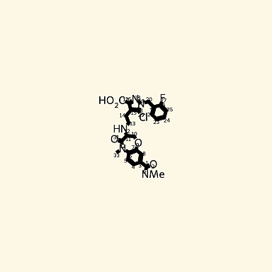 CNC(=O)c1ccc2c(c1)OCC(NCCc1c(C(=O)O)nn(Cc3ccccc3F)c1Cl)C(=O)N2C